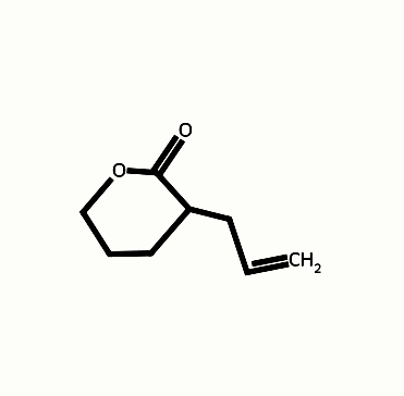 C=CCC1CCCOC1=O